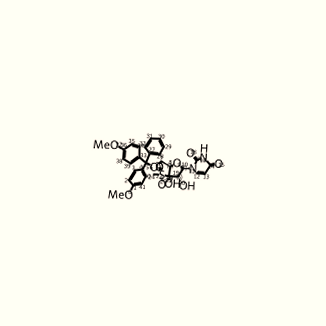 COc1ccc(C(OC[C@H]2O[C@@H](n3ccc(=O)[nH]c3=O)[C@H](O)[C@@]2(O)S(C)(=O)=O)(c2ccccc2)c2ccc(OC)cc2)cc1